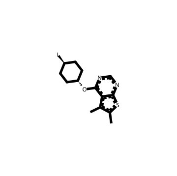 Cc1sc2ncnc(O[C@H]3CC[C@H](I)CC3)c2c1C